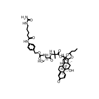 CCCC1O[C@@H]2C[C@H]3[C@@H]4CCC5=CC(=O)C=C[C@]5(C)[C@@]4(F)[C@@H](O)C[C@]3(C)[C@]2(C(=O)COC(=O)C(C)(C)NC(=O)[C@H](CO)NC(=O)OCc2ccc(NC(=O)CCCCNC(N)=O)cc2)O1